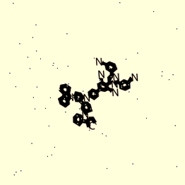 N#Cc1cccc(-c2cc(-c3c(C#N)cc(-c4ccc(-n5c6ccc(-n7c8ccccc8c8ccccc87)cc6c6cc(-n7c8ccccc8c8ccccc87)ccc65)cc4)cc3C#N)nc(-c3cccc(C#N)c3)n2)c1